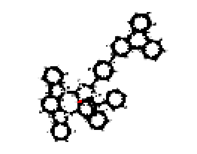 c1ccc(-c2ccc(-n3c4ccccc4c4ccc5c6ccccc6n(-c6nc(-c7ccccc7)nc(-c7ccc(-c8ccc9c%10ccccc%10c%10ccccc%10c9c8)cc7)n6)c5c43)cc2)cc1